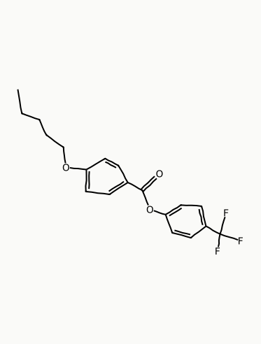 CCCCCOc1ccc(C(=O)Oc2ccc(C(F)(F)F)cc2)cc1